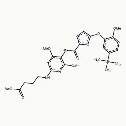 COC(=O)CCCNc1nc(OC)c(NC(=O)c2ccc(Oc3cc([Si](C)(C)C)ccc3OC)o2)c(OC)n1